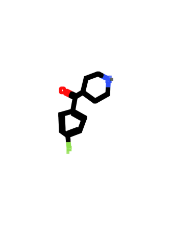 O=C(c1ccc(F)cc1)C1CC[N]CC1